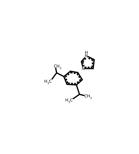 CC(C)c1cccc(C(C)C)c1.c1c[nH]cn1